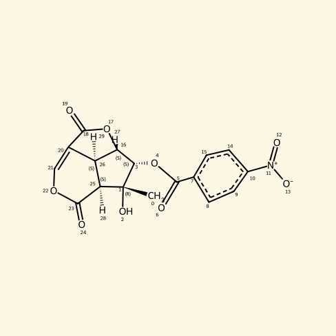 C[C@]1(O)[C@@H](OC(=O)c2ccc([N+](=O)[O-])cc2)[C@H]2OC(=O)C3=COC(=O)[C@H]1[C@@H]32